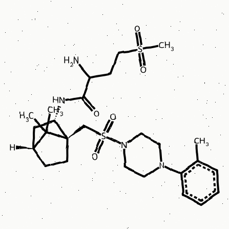 Cc1ccccc1N1CCN(S(=O)(=O)C[C@]23CC[C@H](C[C@@H]2NC(=O)C(N)CCS(C)(=O)=O)C3(C)C)CC1